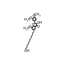 COc1ccc(-c2oc3c(OC)cc(CCCCCCCCCCCCO)cc3c(=O)c2O)cc1OC